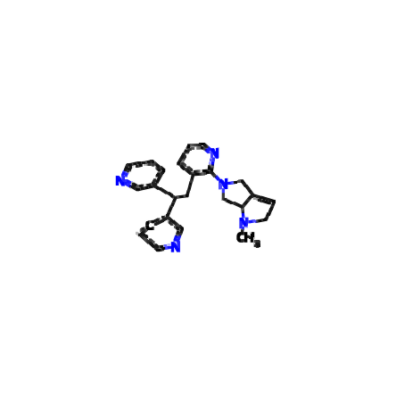 CN1CC=C2CN(c3ncccc3CC(c3cccnc3)c3cccnc3)CC21